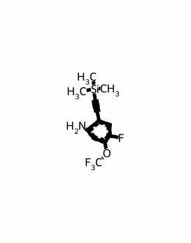 C[Si](C)(C)C#Cc1cc(F)c(OC(F)(F)F)cc1N